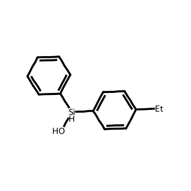 CCc1ccc([SiH](O)c2ccccc2)cc1